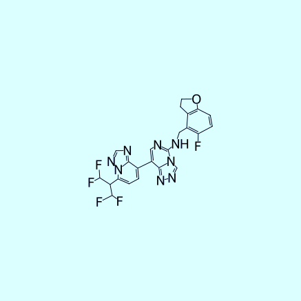 Fc1ccc2c(c1CNc1ncc(-c3ccc(C(C(F)F)C(F)F)n4ncnc34)c3nncn13)CCO2